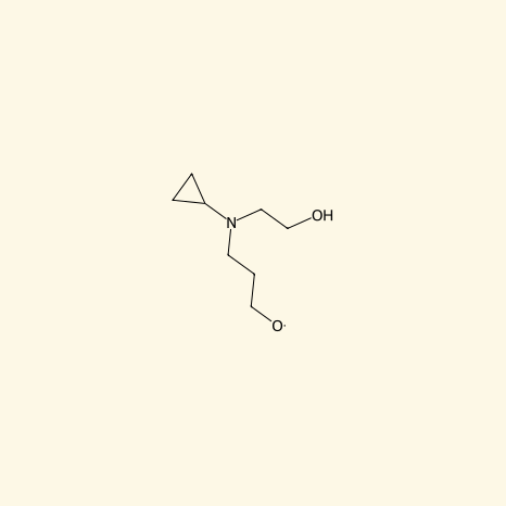 [O]CCCN(CCO)C1CC1